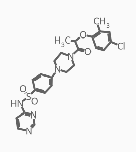 Cc1cc(Cl)ccc1OC(C)C(=O)N1CCN(c2ccc(S(=O)(=O)Nc3ccncn3)cc2)CC1